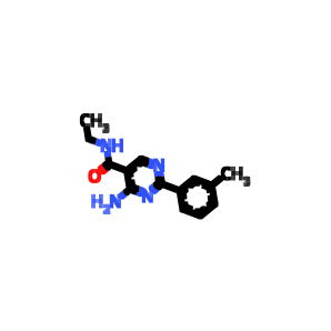 CCNC(=O)c1cnc(-c2cccc(C)c2)nc1N